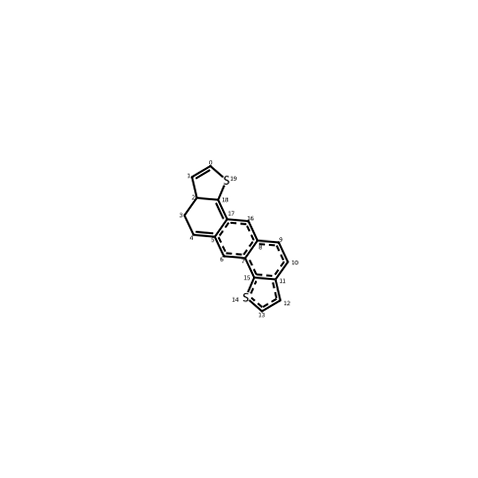 C1=CC2CC=c3cc4c(ccc5ccsc54)cc3=C2S1